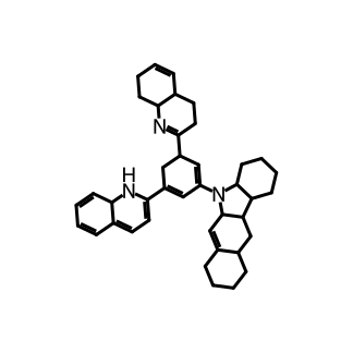 C1=CC2=CC=C(C3=CC(N4C5C=C6CCCCC6CC5C5CCCCC54)=CC(C4=NC5CCC=CC5CC4)C3)NC2C=C1